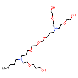 COCCCN(CCCOCCOCOCCCN(CCOCCO)CCOCCO)CCOCCCO